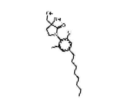 CCCCCCCCc1cc(C)c(N2CCC(N)(CO)C2=O)c(Cl)c1